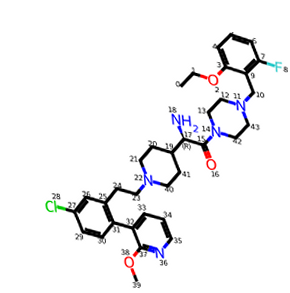 CCOc1cccc(F)c1CN1CCN(C(=O)[C@H](N)C2CCN(CCc3cc(Cl)ccc3-c3cccnc3OC)CC2)CC1